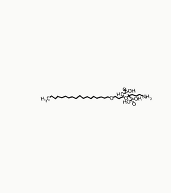 CCCCCCCCCCCCCCCCCCOCCCOC(CCCN)(P(=O)(O)O)P(=O)(O)O